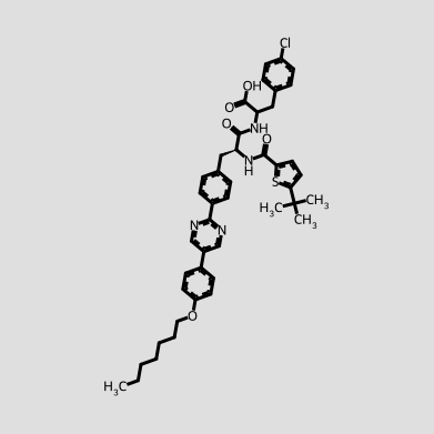 CCCCCCCOc1ccc(-c2cnc(-c3ccc(C[C@H](NC(=O)c4ccc(C(C)(C)C)s4)C(=O)NC(Cc4ccc(Cl)cc4)C(=O)O)cc3)nc2)cc1